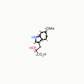 COc1ccc2c(C[C@H](O)C(=O)O)c[nH]c2c1